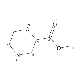 COC(=O)C1C[N]CCO1